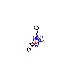 CN(C)CC(=O)N1CSC[C@H]1C(=O)N[C@H](CCC1CCCCC1)C(=S)NCc1ccc(Oc2ccccc2)cc1